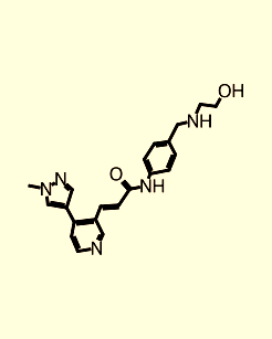 Cn1cc(-c2ccncc2C=CC(=O)Nc2ccc(CNCCO)cc2)cn1